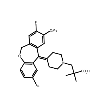 COc1cc2c(cc1F)COc1ccc(C(C)=O)cc1C2=C1CCN(CC(C)(C)C(=O)O)CC1